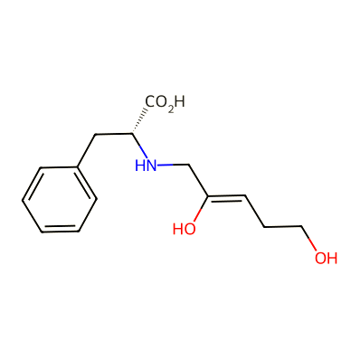 O=C(O)[C@@H](Cc1ccccc1)NC/C(O)=C/CCO